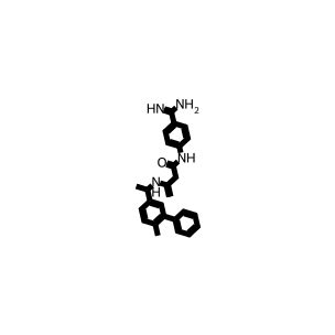 C=C(CC(=O)Nc1ccc(C(=N)N)cc1)NC(C)c1ccc(C)c(-c2ccccc2)c1